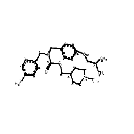 Cc1ccc(CN(Cc2ccc(OCC(C)C)cc2)C(=O)OCC2CCN(C)CC2)cc1